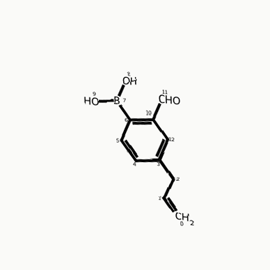 C=CCc1ccc(B(O)O)c(C=O)c1